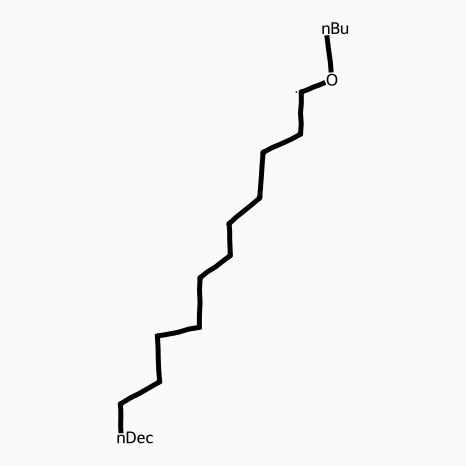 CCCCCCCCCCCCCCCCCCCC[CH]OCCCC